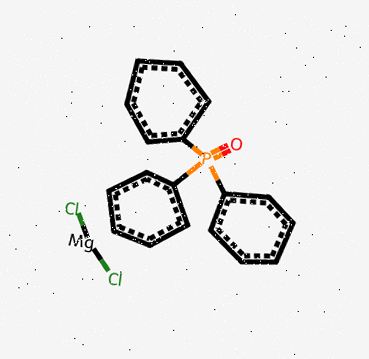 O=P(c1ccccc1)(c1ccccc1)c1ccccc1.[Cl][Mg][Cl]